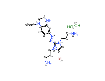 CCCCCN1CCNc2cc(/N=N/c3n(CCCN)cc[n+]3CCCN)ccc21.Cl.Cl.[Br-]